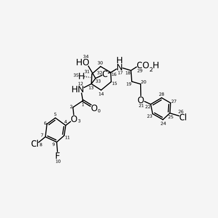 O=C(COc1ccc(Cl)c(F)c1)NC12CCC(NC(CCOc3ccc(Cl)cc3)C(=O)O)(CC1)C[C@@H]2O